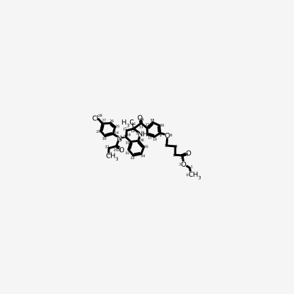 CCOC(=O)CCCOc1ccc(C(=O)[C@]2(C)C[C@H](N(C(=O)CC)c3ccc(Cl)cc3)c3ccccc3N2)cc1